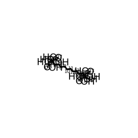 O=P(O)(O)C(O)(CCCCCCCCCCC(O)(P(=O)(O)O)P(=O)(O)O)P(=O)(O)O